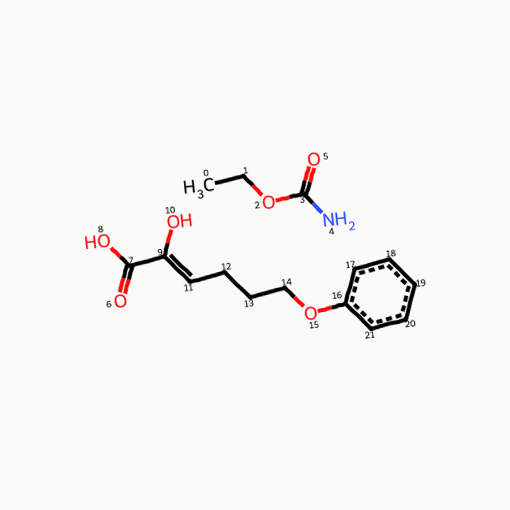 CCOC(N)=O.O=C(O)C(O)=CCCCOc1ccccc1